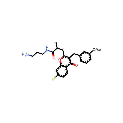 COc1cccc(Cc2c([CH]C(C)C(=O)NCCCN)oc3cc(F)ccc3c2=O)c1